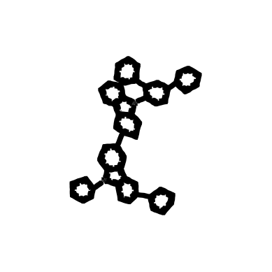 c1ccc(-c2ccc(-n3c4ccccc4c4cc(-c5ccc6c(c5)c5cc(-c7ccccc7)ccc5n6-c5ccccc5)ccc43)c(-c3ccccc3)c2)cc1